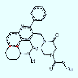 CCN(C(=O)c1c(CN2CCN(C(=O)OC(C)(C)C)CC2=O)c(-c2ccccc2)nc2ccccc12)C1CCCCC1